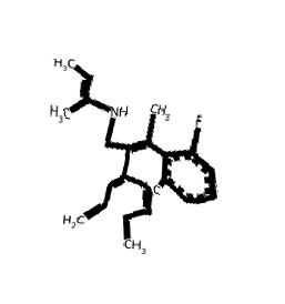 C=C/C=C(\C=C/CC)C(/CN/C(C)=C/C)=C(/C)c1c(C)cccc1F